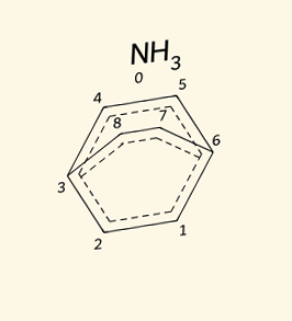 N.c1cc2ccc1cc2